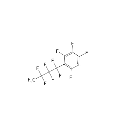 Fc1[c]c(F)c(C(F)(F)C(F)(F)C(F)(F)C(F)(F)F)c(F)c1F